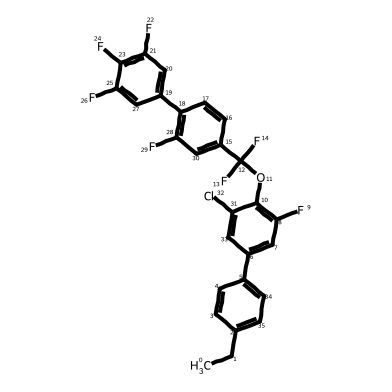 CCc1ccc(-c2cc(F)c(OC(F)(F)c3ccc(-c4cc(F)c(F)c(F)c4)c(F)c3)c(Cl)c2)cc1